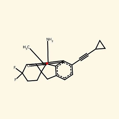 CN1C(=O)C2(NC1N)c1cc(C#CC3CC3)ccc1CC21CCC(F)(F)CC1